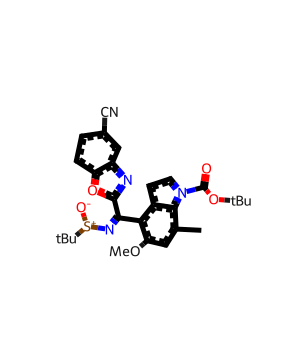 COc1cc(C)c2c(ccn2C(=O)OC(C)(C)C)c1C(=N[S+]([O-])C(C)(C)C)c1nc2cc(C#N)ccc2o1